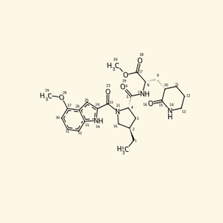 CC[C@@H]1C[C@@H](C(=O)N[C@@H](C[C@@H]2CCCNC2=O)C(=O)OC)N(C(=O)c2cc3c(OC)cccc3[nH]2)C1